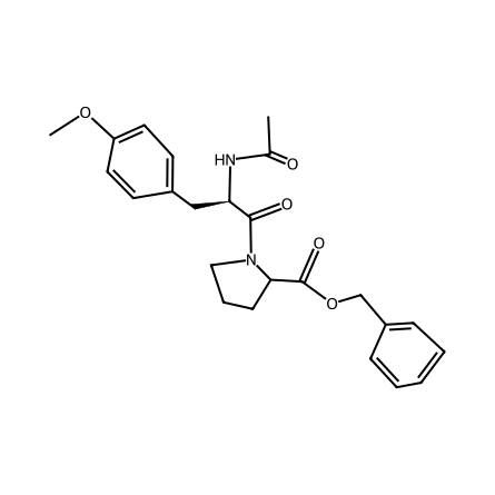 COc1ccc(C[C@@H](NC(C)=O)C(=O)N2CCCC2C(=O)OCc2ccccc2)cc1